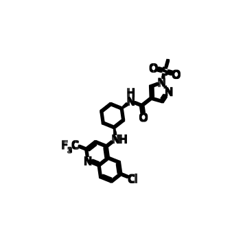 CS(=O)(=O)n1cc(C(=O)N[C@@H]2CCC[C@H](Nc3cc(C(F)(F)F)nc4ccc(Cl)cc34)C2)cn1